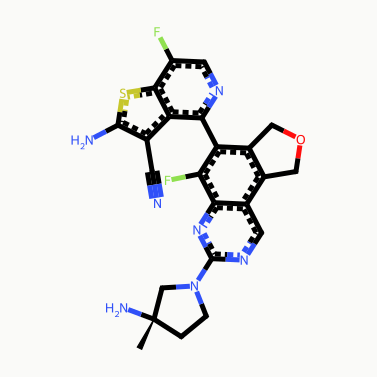 C[C@]1(N)CCN(c2ncc3c4c(c(-c5ncc(F)c6sc(N)c(C#N)c56)c(F)c3n2)COC4)C1